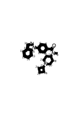 CN(C(=O)c1ccc(-n2ncc3ccccc32)cc1)C1CCN(C2CCC2)CC1